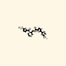 Cc1ccc(C(=O)N2CCOCC2CNC(=O)c2ccc(-c3noc(C(F)(F)F)n3)s2)s1